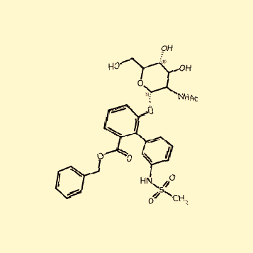 CC(=O)NC1C(O)[C@@H](O)C(CO)O[C@H]1Oc1cccc(C(=O)OCc2ccccc2)c1-c1cccc(NS(C)(=O)=O)c1